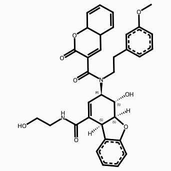 COc1cccc(CCN(C(=O)C2=CC3C=CC=CC3OC2=O)[C@@H]2C=C(C(=O)NCCO)[C@@H]3c4ccccc4O[C@@H]3[C@H]2O)c1